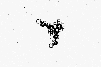 Fc1c(F)c(F)c(C2=C3C=c4oc(-c5ccc(Cl)s5)cc4=[N+]3[B-](F)(F)n3c2cc2oc(-c4ccc(Cl)s4)cc23)c(F)c1F